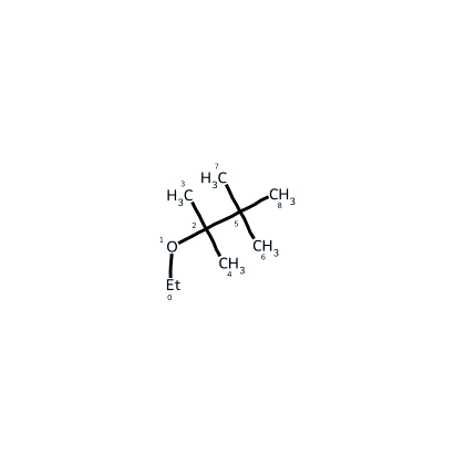 CCOC(C)(C)C(C)(C)C